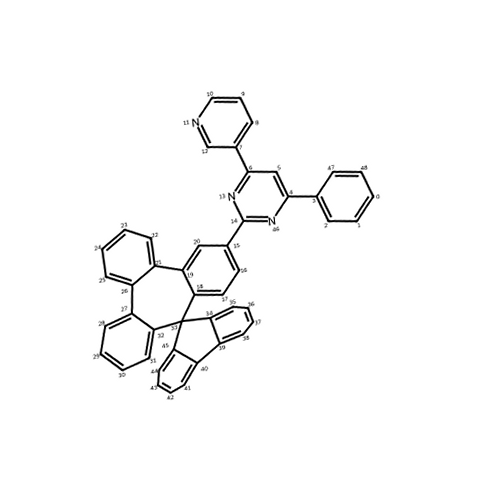 c1ccc(-c2cc(-c3cccnc3)nc(-c3ccc4c(c3)-c3ccccc3-c3ccccc3C43c4ccccc4-c4ccccc43)n2)cc1